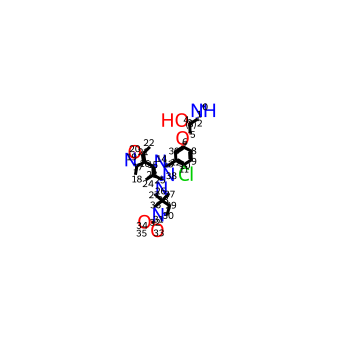 CNC[C@H](O)COc1ccc(Cl)c(-c2nc(-c3c(C)noc3C)c(C)c(N3CC4(CCN(C(=O)OC)C4)C3)n2)c1